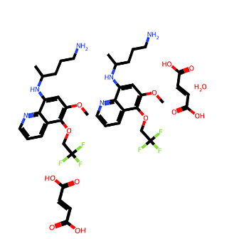 COc1cc(NC(C)CCCN)c2ncccc2c1OCC(F)(F)F.COc1cc(NC(C)CCCN)c2ncccc2c1OCC(F)(F)F.O.O=C(O)C=CC(=O)O.O=C(O)C=CC(=O)O